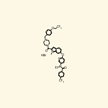 Br.CCN(C(=O)c1ccc(C(F)(F)F)cc1)c1ccc(Oc2ccc3cc(C(=O)N4CCN(Cc5ccc(OCC(F)(F)F)cc5)CC4)n(C)c3c2)nc1